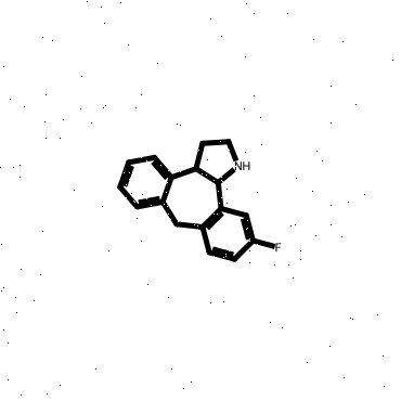 Fc1ccc2c(c1)C1NCCC1c1ccccc1C2